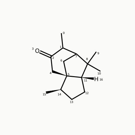 CC1C(=O)C[C@@]23CC1C(C)(C)[C@@H]2CC[C@H]3C